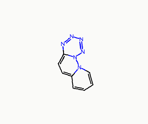 C1=CC2=CC=C3N=NN=NN3N2C=C1